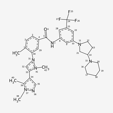 Cc1ccc(C(=O)Nc2cc(N3CCC(N4CCCCC4)C3)cc(C(F)(F)F)c2)cc1-n1cc(-c2cnn(C)c2C)n1C